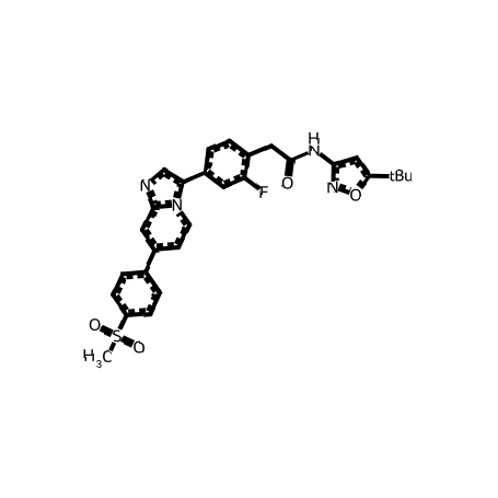 CC(C)(C)c1cc(NC(=O)Cc2ccc(-c3cnc4cc(-c5ccc(S(C)(=O)=O)cc5)ccn34)cc2F)no1